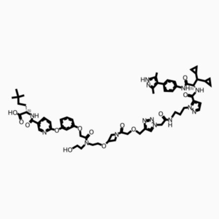 Cc1n[nH]c(C)c1-c1ccc(NC(=O)[C@@H](NC(=O)c2ccnn2CCCNC(=O)Cn2cc(COCC(=O)N3CC(OCCN(CCO)C(=O)COc4cccc(Oc5ccc(C(=O)N[C@@H](CCC(C)(C)C)C(=O)O)cn5)c4)C3)nn2)C(C2CC2)C2CC2)cc1